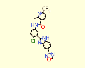 Cc1nc(C(F)(F)F)ccc1C(=O)Nc1ccc(Cl)c(-c2nc3cc(-c4ncon4)ccc3[nH]2)c1